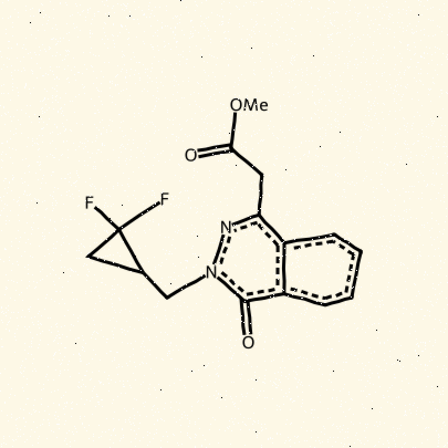 COC(=O)Cc1nn(CC2CC2(F)F)c(=O)c2ccccc12